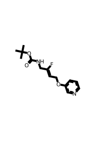 CC(C)(C)OC(=O)NCC(F)=CCOc1cccnc1